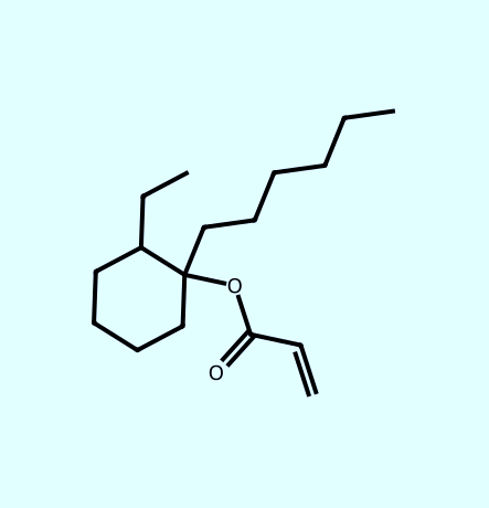 C=CC(=O)OC1(CCCCCC)CCCCC1CC